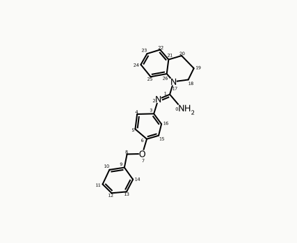 NC(=Nc1ccc(OCc2ccccc2)cc1)N1CCCc2ccccc21